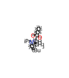 CC(C)N1/C(=C/C=C2C(=O)c3cc4ccccc4cc3C2=O)C(C)(C)c2cc(C(C)(C)C)ccc21